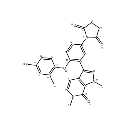 Cn1ccc2c(-c3cc(N4C(=O)CCC4=O)ccc3Oc3ccc(F)cc3F)cn(C)c2c1=O